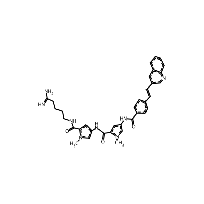 Cn1cc(NC(=O)c2cc(NC(=O)c3ccc(/C=C/c4cnc5ccccc5c4)cc3)cn2C)cc1C(=O)NCCCCC(=N)N